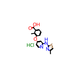 Cc1csc(Nc2cc(Oc3cccc(C(=O)O)c3C)ccn2)n1.Cl